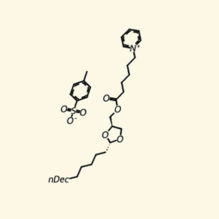 CCCCCCCCCCCCCCC[C@H]1OC[C@H](COC(=O)CCCCC[n+]2ccccc2)O1.Cc1ccc(S(=O)(=O)[O-])cc1